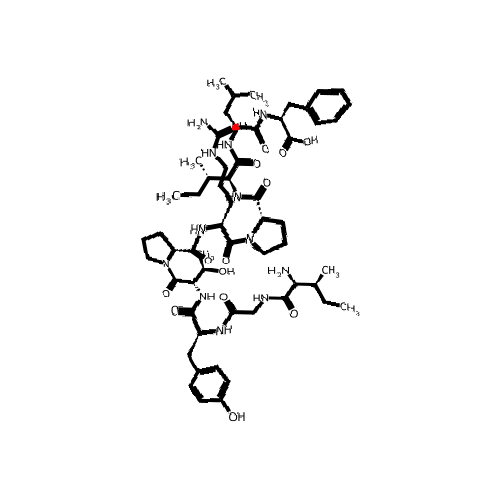 CC[C@H](C)[C@H](N)C(=O)NCC(=O)N[C@@H](Cc1ccc(O)cc1)C(=O)N[C@H](C(=O)N1CCC[C@H]1C(=O)N[C@@H](CCCNC(=N)N)C(=O)N1CCC[C@H]1C(=O)N[C@H](C(=O)N[C@@H](CC(C)C)C(=O)N[C@@H](Cc1ccccc1)C(=O)O)[C@@H](C)CC)[C@@H](C)O